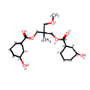 COCC(C)(COC(=O)C1CCCC(O)C1)COC(=O)C1CCCC(O)C1